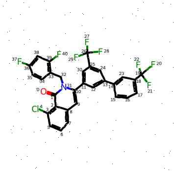 O=c1c2c(Cl)cccc2cc(-c2cc(-c3cccc(C(F)(F)F)c3)cc(C(F)(F)F)c2)n1Cc1ccc(F)cc1F